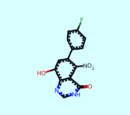 O=c1[nH]cnc2c(O)cc(-c3ccc(F)cc3)c([N+](=O)[O-])c12